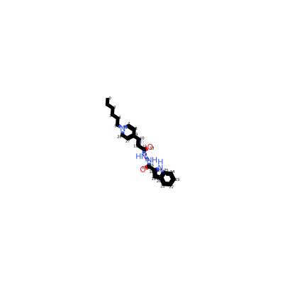 CCCCCCN1C=CC(/C=C/C(=O)NNC(=O)c2cc3ccccc3[nH]2)=CC1